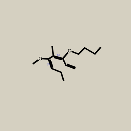 C=C/C(OCCCC)=C(C)\C(=C/CC)OC